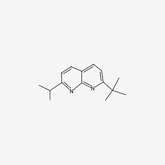 CC(C)c1ccc2ccc(C(C)(C)C)nc2n1